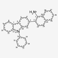 Nc1c(-c2ccc3c4ccccc4n(-c4ccccc4)c3c2)ccc2ccccc12